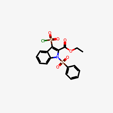 CCOC(=O)c1c(S(=O)(=O)Cl)c2ccccc2n1S(=O)(=O)c1ccccc1